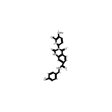 COc1ccc(-n2c(=S)[nH]c3cc(C(=O)NCc4ccc(Cl)cc4)ccc3c2=O)nc1Cl